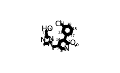 COc1ncc(Cn2cnc(CO)n2)cc1-c1cccc(Cl)c1